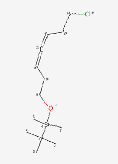 CC(C)(C)[Si](C)(C)OCCC=C=CCCCl